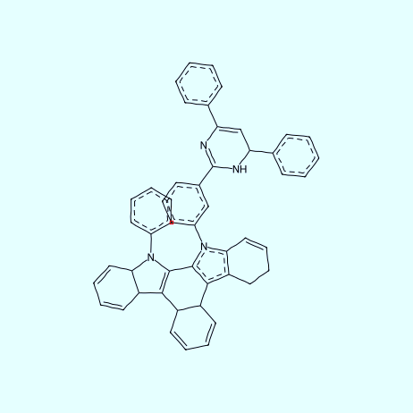 C1=CC2C3=C(c4c(c5c(n4-c4cccc(C6=NC(c7ccccc7)=CC(c7ccccc7)N6)c4)C=CCC5)C2C=C1)N(c1ccccc1)C1C=CC=CC31